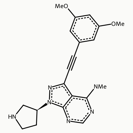 CNc1ncnc2c1c(C#Cc1cc(OC)cc(OC)c1)nn2[C@H]1CCNC1